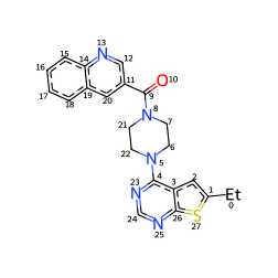 CCc1cc2c(N3CCN(C(=O)c4cnc5ccccc5c4)CC3)ncnc2s1